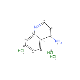 Cl.Cl.Cl.Nc1ccnc2ccccc12